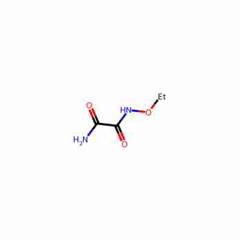 CCONC(=O)C(N)=O